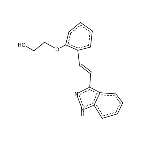 OCCOc1ccccc1C=Cc1n[nH]c2ccccc12